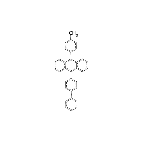 Cc1ccc(-c2c3ccccc3c(-c3ccc(-c4ccccc4)cc3)c3ccccc23)cc1